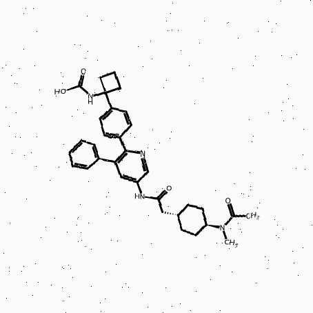 CC(=O)N(C)[C@H]1CC[C@H](CC(=O)Nc2cnc(-c3ccc(C4(NC(=O)O)CCC4)cc3)c(-c3ccccc3)c2)CC1